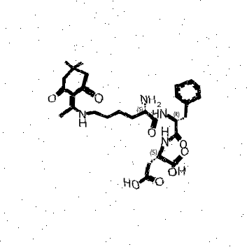 CC(NCCCC[C@H](N)C(=O)N[C@H](Cc1ccccc1)C(=O)N[C@@H](CC(=O)O)C(=O)O)=C1C(=O)CC(C)(C)CC1=O